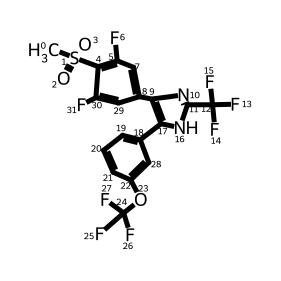 CS(=O)(=O)c1c(F)cc(-c2nc(C(F)(F)F)[nH]c2-c2cccc(OC(F)(F)F)c2)cc1F